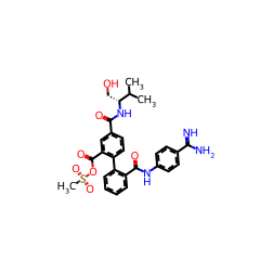 CC(C)[C@@H](CO)NC(=O)c1ccc(-c2ccccc2C(=O)Nc2ccc(C(=N)N)cc2)c(C(=O)OS(C)(=O)=O)c1